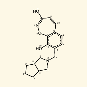 OC1=NOc2c(ccc(CN3CC4CCCC4C3)c2O)C=C1